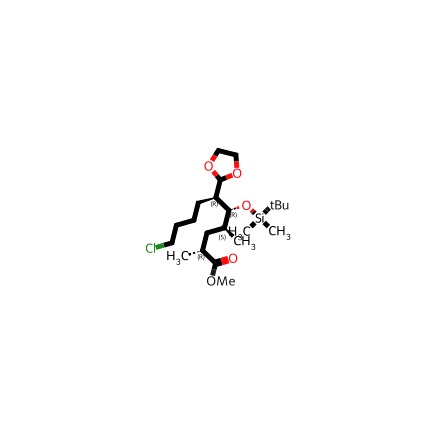 COC(=O)[C@H](C)C[C@H](C)[C@@H](O[Si](C)(C)C(C)(C)C)[C@@H](CCCCCl)C1OCCO1